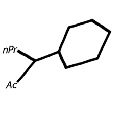 [CH2]CCC(C(C)=O)C1CCCCC1